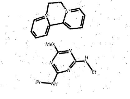 CCNc1nc(NC(C)C)nc(SC)n1.c1cc[n+]2c(c1)-c1cccc[n+]1CC2